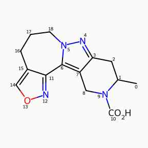 CC1Cc2nn3c(c2CN1C(=O)O)-c1nocc1CCC3